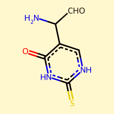 NC(C=O)c1c[nH]c(=S)[nH]c1=O